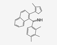 CC1=C(c2ccc3ccccc3c2C(=N)c2ccc(C)c(C)c2C)CC=C1